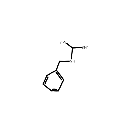 CCCC(CCC)NCc1ccccc1